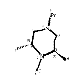 CC(=O)N1[C@H](C)CN(C(C)C)C[C@H]1C